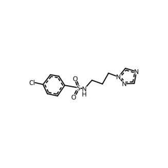 O=S(=O)(NCCCn1cncn1)c1ccc(Cl)cc1